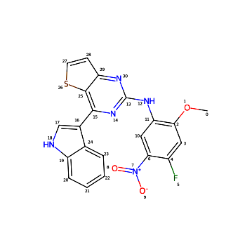 COc1cc(F)c([N+](=O)[O-])cc1Nc1nc(-c2c[nH]c3ccccc23)c2sccc2n1